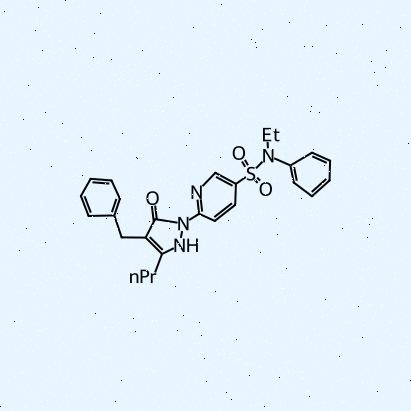 CCCc1[nH]n(-c2ccc(S(=O)(=O)N(CC)c3ccccc3)cn2)c(=O)c1Cc1ccccc1